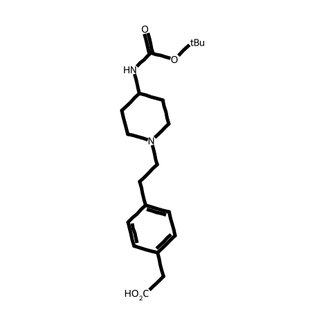 CC(C)(C)OC(=O)NC1CCN(CCc2ccc(CC(=O)O)cc2)CC1